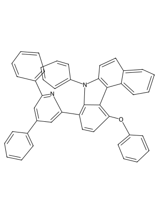 c1ccc(Oc2ccc(-c3cc(-c4ccccc4)cc(-c4ccccc4)n3)c3c2c2c4ccccc4ccc2n3-c2ccccc2)cc1